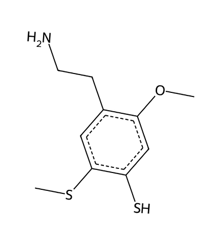 COc1cc(S)c(SC)cc1CCN